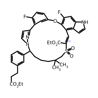 CCOC(=O)CCc1cccc(C2CCCC(C)(C)CS(=O)(=O)/C(C(=O)OCC)=C/c3c(c(F)cc4[nH]ccc34)Oc3ccc(F)c(c3)-c3ccn2n3)c1